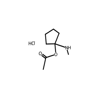 CNC1(OC(C)=O)CCCC1.Cl